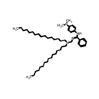 CCCCCCCCCCCCCCCCN(CCCCCCCCCCCCCCCC)CN=C(Nc1ccc(N(C)C)cc1)c1ccccc1